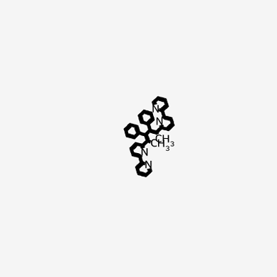 C/C(=C(\C(=C(/C)c1cccc(-c2ccccn2)n1)c1ccccc1)c1ccccc1)c1cccc(-c2ccccn2)n1